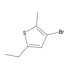 CCc1cc(Br)c(C)s1